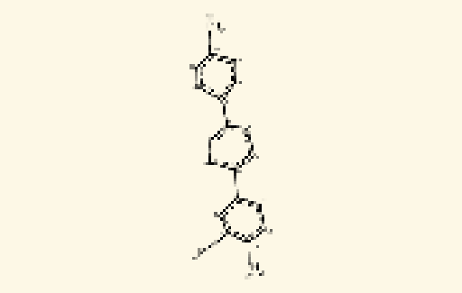 Fc1cc(-c2ccc(-c3ccc(P)cc3)cc2)ccc1P